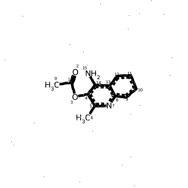 CC(=O)Oc1c(C)nc2ccccc2c1N